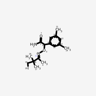 C/C(=N\OC(C(N)=O)c1cc(C)cc(C)c1)C(C)(C)CI